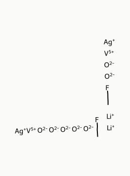 CF.CF.[Ag+].[Ag+].[Li+].[Li+].[O-2].[O-2].[O-2].[O-2].[O-2].[O-2].[O-2].[V+5].[V+5]